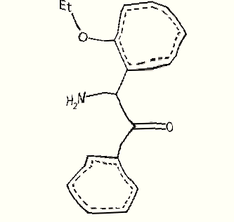 CCOc1ccccc1C(N)C(=O)c1ccccc1